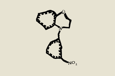 O=[N+]([O-])c1cccc(N2CCOc3ccccc32)c1